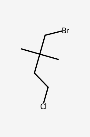 CC(C)(CBr)CCCl